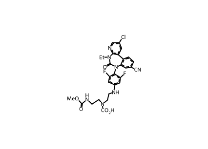 CCN1C(=O)N(c2c(F)cc(NCCN(CCNC(=O)OC)C(=O)O)cc2F)c2cc(C#N)ccc2-c2cc(Cl)cnc21